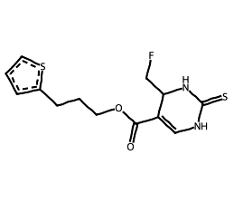 O=C(OCCCc1cccs1)C1=CNC(=S)NC1CF